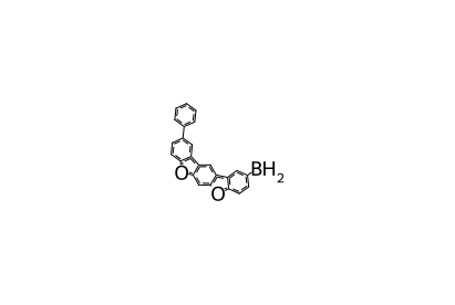 Bc1ccc2oc3cc4oc5ccc(-c6ccccc6)cc5c4cc3c2c1